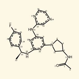 CC(=O)NC1CCN(c2cc(Nc3cnccn3)nc(N[C@@H](C)c3ccc(F)cc3)n2)C1